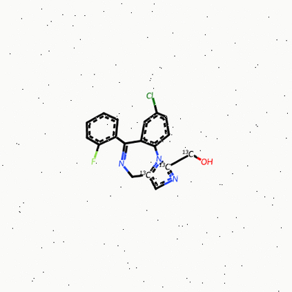 O[13CH2][13c]1nc[13c]2n1-c1ccc(Cl)cc1C(c1ccccc1F)=NC2